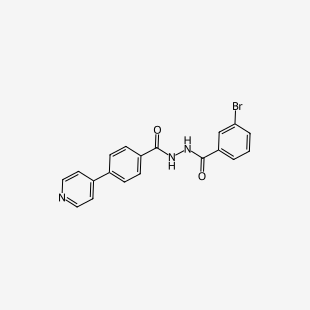 O=C(NNC(=O)c1cccc(Br)c1)c1ccc(-c2ccncc2)cc1